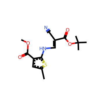 COC(=O)c1cc(C)sc1N/C=C(\C#N)C(=O)OC(C)(C)C